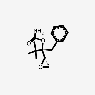 CC(C)(C)[C@](Cc1ccccc1)(OC(N)=O)[C@@H]1CO1